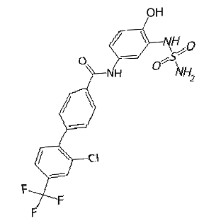 NS(=O)(=O)Nc1cc(NC(=O)c2ccc(-c3ccc(C(F)(F)F)cc3Cl)cc2)ccc1O